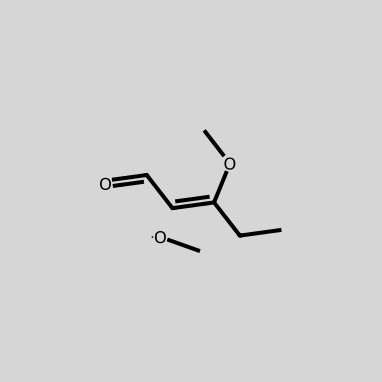 CCC(=CC=O)OC.C[O]